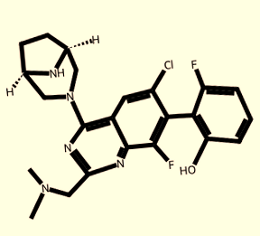 CN(C)Cc1nc(N2C[C@H]3CC[C@@H](C2)N3)c2cc(Cl)c(-c3c(O)cccc3F)c(F)c2n1